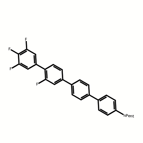 CCCCCc1ccc(-c2ccc(-c3ccc(-c4cc(F)c(F)c(F)c4)c(F)c3)cc2)cc1